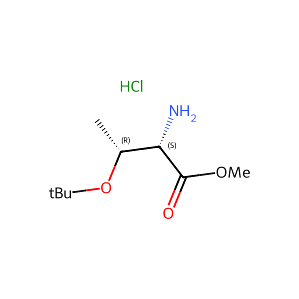 COC(=O)[C@@H](N)[C@@H](C)OC(C)(C)C.Cl